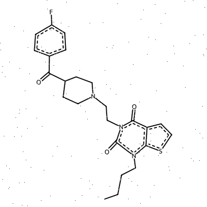 CCCCn1c(=O)n(CCN2CCC(C(=O)c3ccc(F)cc3)CC2)c(=O)c2ccsc21